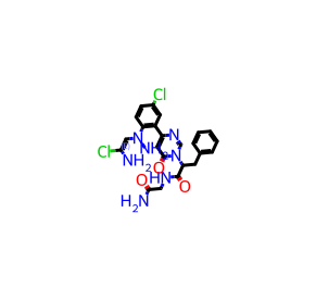 NC(=O)CNC(=O)C(Cc1ccccc1)n1cnc(-c2cc(Cl)ccc2N(N)/C=C(\N)Cl)cc1=O